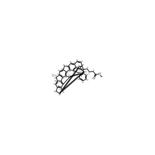 COC(=O)CCCC1(c2ccccc2)C23C=Cc4cc5c6c7c(cc8c9c7c7c%10c-9c(cc9c%10c(c%10c7c6c4C%1021)C(=C3)C9)[C@@H]8C)C5